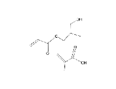 C=C(C)C(=O)O.C=CC(=O)OCC(C)CO